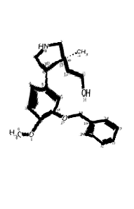 COc1ccc([C@H]2CNC[C@@]2(C)CCO)cc1OCc1ccccc1